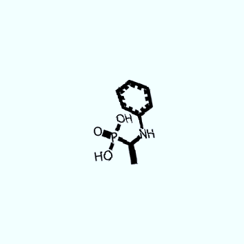 C=C(Nc1ccccc1)P(=O)(O)O